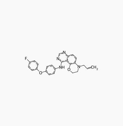 C=CCN1CCOc2c1ccc1ncnc(Nc3ccc(Oc4ccc(F)cc4)cc3)c21